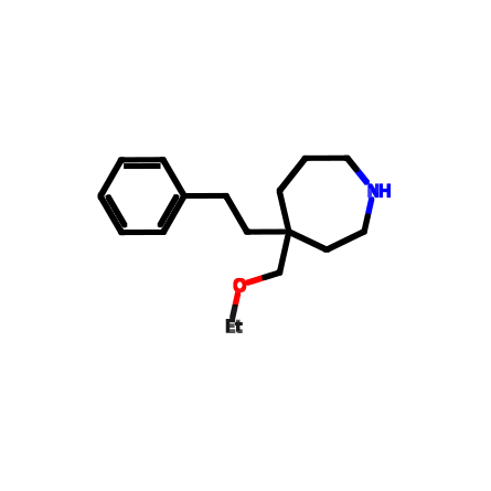 CCOCC1(CCc2ccccc2)CCCNCC1